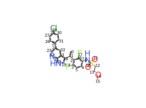 C=C(c1c(F)ccc(NS(=O)(=O)CCOC)c1F)c1c[nH]c2ncc(-c3ccc(Cl)cc3)cc12